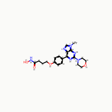 CC(C)n1cnc2c(-c3ccc(OCCCC(=O)NO)cc3)nc(N3CCOCC3)nc21